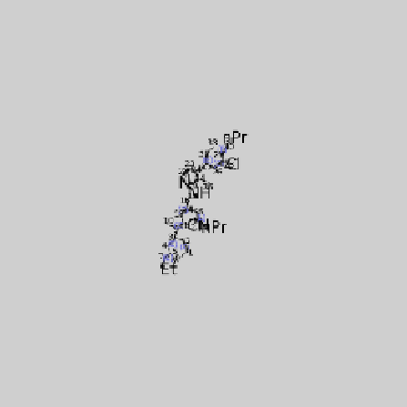 C\C=C/C(=C\C(C)=C\CC)C(/C)=C(C#N)/C=C(\C=C\CCC)CNc1nccc(C(/C=C(Cl)\C=C\CCC)=C/C)c1C